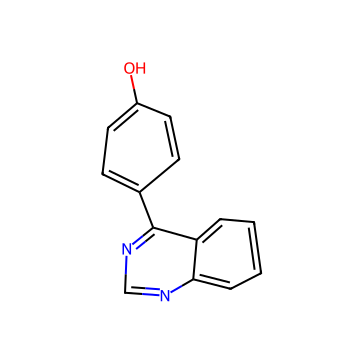 Oc1ccc(-c2ncnc3ccccc23)cc1